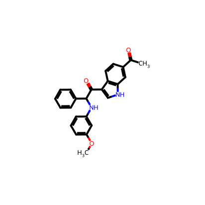 COc1cccc(NC(C(=O)c2c[nH]c3cc(C(C)=O)ccc23)c2ccccc2)c1